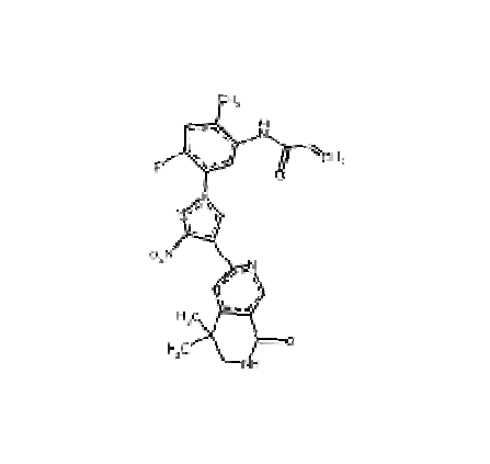 C=CC(=O)Nc1cc(-n2cc(-c3cc4c(cn3)C(=O)NCC4(C)C)c([N+](=O)[O-])n2)c(F)cc1C